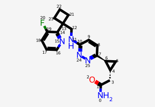 NC(=O)C[C@H]1C[C@@H]1c1ccc(NCC2(c3ncccc3F)CCC2)nn1